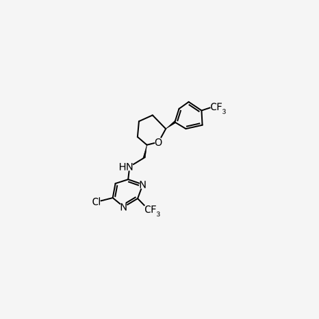 FC(F)(F)c1ccc([C@@H]2CCC[C@H](CNc3cc(Cl)nc(C(F)(F)F)n3)O2)cc1